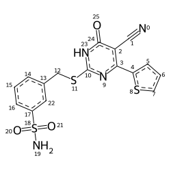 N#Cc1c(-c2cccs2)nc(SCc2cccc(S(N)(=O)=O)c2)[nH]c1=O